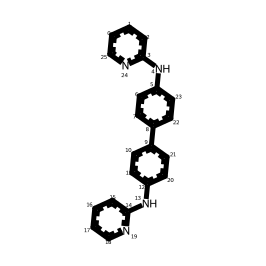 c1ccc(Nc2ccc(-c3ccc(Nc4ccccn4)cc3)cc2)nc1